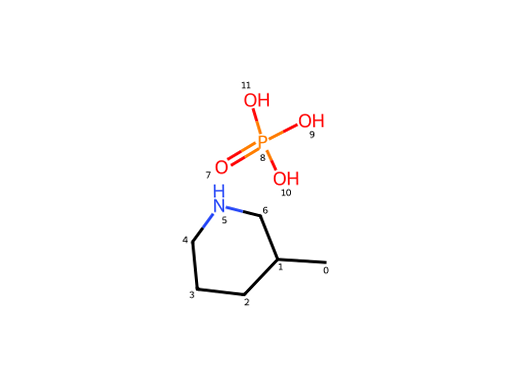 CC1CCCNC1.O=P(O)(O)O